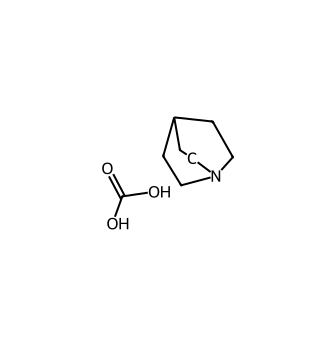 C1CN2CCC1CC2.O=C(O)O